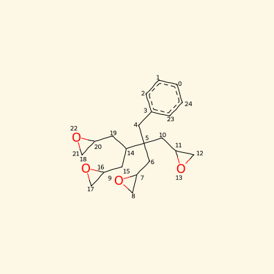 c1ccc(CC(CC2CO2)(CC2CO2)C(CC2CO2)CC2CO2)cc1